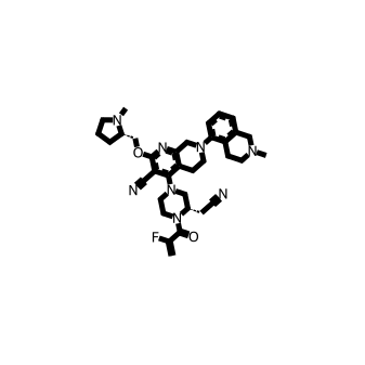 C=C(F)C(=O)N1CCN(c2c(C#N)c(OC[C@@H]3CCCN3C)nc3c2CCN(c2cccc4c2CCN(C)C4)C3)C[C@@H]1CC#N